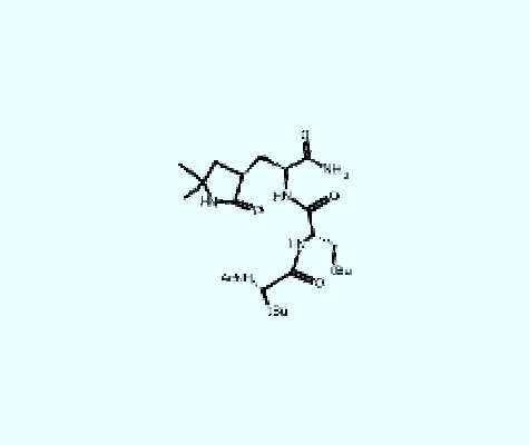 CC(=O)N[C@H](C(=O)N[C@@H](CC(C)(C)C)C(=O)N[C@@H](C[C@@H]1CC(C)(C)NC1=O)C(N)=O)C(C)(C)C